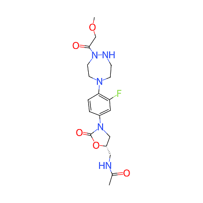 COCC(=O)N1CCN(c2ccc(N3C[C@H](CNC(C)=O)OC3=O)cc2F)CCN1